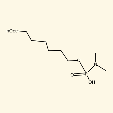 CCCCCCCCCCCCCCOP(=O)(O)N(C)C